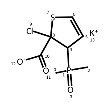 CP(C)(=O)C1C=CSC1(Cl)C(=O)[O-].[K+]